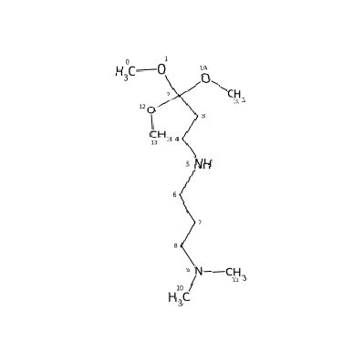 COC(CCNCCCN(C)C)(OC)OC